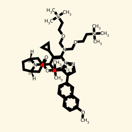 COc1ccc2ccc(-c3cnn4c3NC(C3C[C@H]5CC[C@@H](C3)N5C(=O)OC(C)(C)C)C(C3CC3)=C4N(COCC[Si](C)(C)C)COCC[Si](C)(C)C)cc2c1